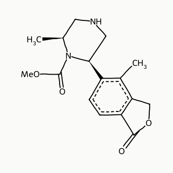 COC(=O)N1[C@@H](C)CNC[C@H]1c1ccc2c(c1C)COC2=O